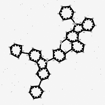 c1ccc(-c2ccc3c(c2)c2cc(-c4ccccc4)ccc2n3-c2ccc3c(c2)Sc2cc4c(c5cccc-3c25)c2ccccc2n4-c2ccccc2)cc1